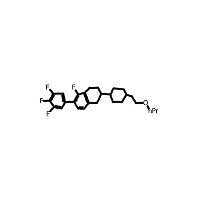 CCCOCCC1CCC(C2CCc3c(ccc(-c4cc(F)c(F)c(F)c4)c3F)C2)CC1